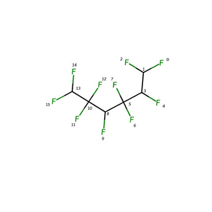 FC(F)C(F)C(F)(F)C(F)C(F)(F)C(F)F